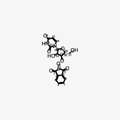 O=C1c2ccccc2C(=O)N1OOC1C(O)[C@H](n2ccc(=O)[nH]c2=O)O[C@@H]1CO